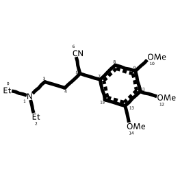 CCN(CC)CCC(C#N)c1cc(OC)c(OC)c(OC)c1